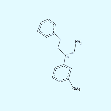 COc1cccc([C@@H](CN)CCc2ccccc2)c1